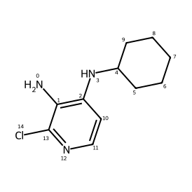 Nc1c(NC2CCCCC2)ccnc1Cl